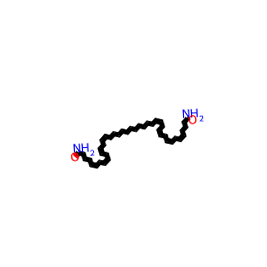 NC(=O)CCC/C=C\C/C=C\C/C=C\C/C=C\CCCCCCCCCCC/C=C\C/C=C\C/C=C\C/C=C\CCCC(N)=O